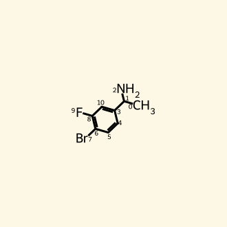 CC(N)c1ccc(Br)c(F)c1